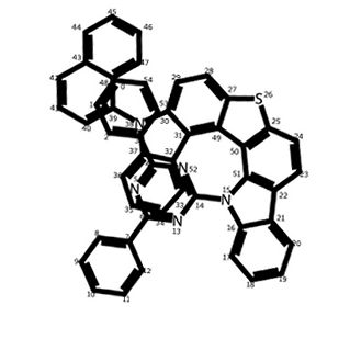 c1ccc(-c2nc(-c3ccccc3)nc(-n3c4ccccc4c4ccc5sc6ccc7c(c8ccccc8n7-c7cccc8ccccc78)c6c5c43)n2)cc1